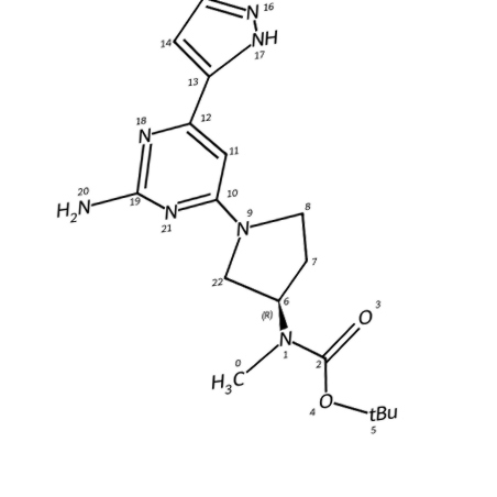 CN(C(=O)OC(C)(C)C)[C@@H]1CCN(c2cc(-c3ccn[nH]3)nc(N)n2)C1